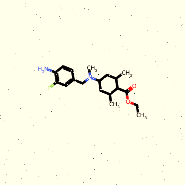 CCOC(=O)C1C(C)CC(N(C)Cc2ccc(N)c(F)c2)CC1C